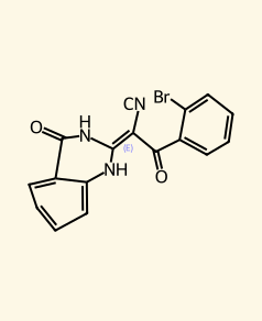 N#C/C(C(=O)c1ccccc1Br)=C1\NC(=O)c2ccccc2N1